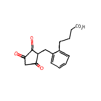 O=C(O)CCCc1ccccc1CC1C(=O)CC(=O)C1=O